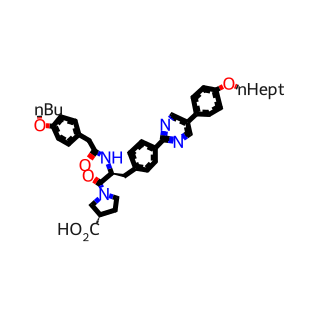 CCCCCCCOc1ccc(-c2cnc(-c3ccc(C[C@H](NC(=O)Cc4ccc(OCCCC)cc4)C(=O)N4CC[C@H](C(=O)O)C4)cc3)nc2)cc1